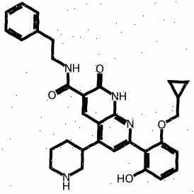 O=C(NCCc1ccccc1)c1cc2c(C3CCCNC3)cc(-c3c(O)cccc3OCC3CC3)nc2[nH]c1=O